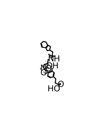 Cc1cc(CCC(=O)O)ccc1S(=O)(=O)N(C)C[C@H](O)CNC(C)(C)CC1CC2=C(CCC=C2)C1